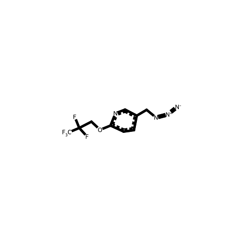 [N-]=[N+]=NCc1ccc(OCC(F)(F)C(F)(F)F)nc1